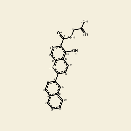 O=C(O)CNC(=O)c1ncc2nc(-c3ccc4ccccc4c3)ccc2c1O